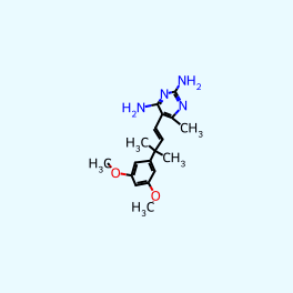 COc1cc(OC)cc(C(C)(C)/C=C/c2c(C)nc(N)nc2N)c1